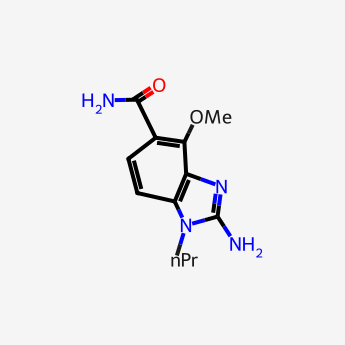 CCCn1c(N)nc2c(OC)c(C(N)=O)ccc21